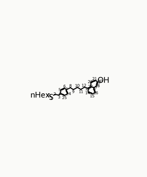 CCCCCCSCCc1ccc(CCCCCc2cccc3cc(O)ccc23)cc1